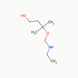 CCNCOC(C)(C)CCO